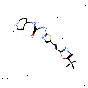 C[Si](C)(C)c1cnc(/C=C/c2cnc(NC(=O)NC3CCNCC3)s2)o1